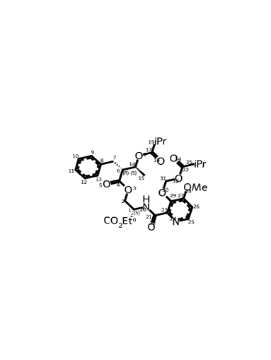 CCOC(=O)[C@H](COC(=O)[C@H](Cc1ccccc1)[C@H](C)OC(=O)C(C)C)NC(=O)c1nccc(OC)c1OCOC(=O)C(C)C